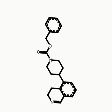 O=C(OCc1ccccc1)N1CCC(c2cccc3c2CCN=C3)CC1